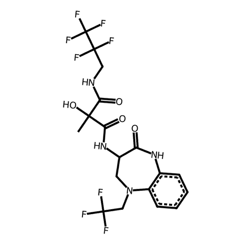 CC(O)(C(=O)NCC(F)(F)C(F)(F)F)C(=O)NC1CN(CC(F)(F)F)c2ccccc2NC1=O